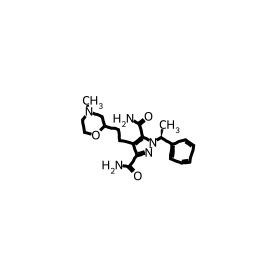 C[C@@H](c1ccccc1)n1nc(C(N)=O)c(CCC2CN(C)CCO2)c1C(N)=O